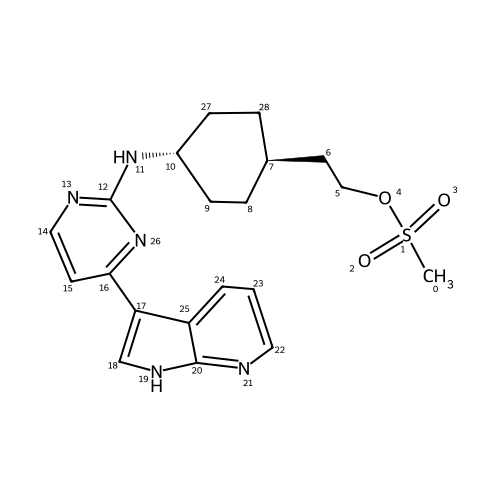 CS(=O)(=O)OCC[C@H]1CC[C@H](Nc2nccc(-c3c[nH]c4ncccc34)n2)CC1